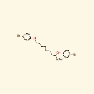 CCCCCCCCCCC(CCCCCCCOc1ccc(Br)cc1)Oc1ccc(Br)cc1